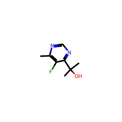 Cc1ncnc(C(C)(C)O)c1F